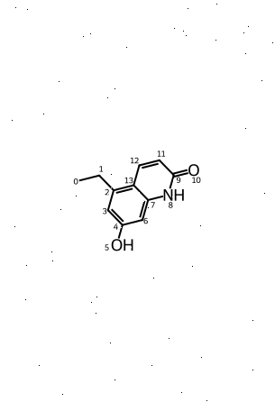 CCc1cc(O)cc2[nH]c(=O)ccc12